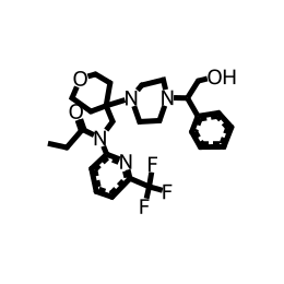 CCC(=O)N(CC1(N2CCN(C(CO)c3ccccc3)CC2)CCOCC1)c1cccc(C(F)(F)F)n1